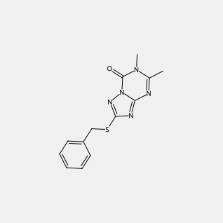 Cc1nc2nc(SCc3ccccc3)nn2c(=O)n1C